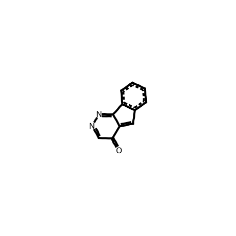 O=C1C=NN=C2C1=Cc1ccccc12